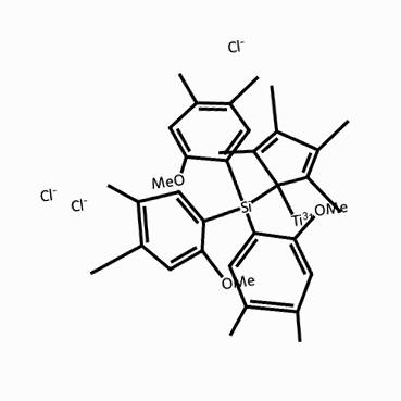 COc1cc(C)c(C)cc1[Si](c1cc(C)c(C)cc1OC)(c1cc(C)c(C)cc1OC)[C]1([Ti+3])C(C)=C(C)C(C)=C1C.[Cl-].[Cl-].[Cl-]